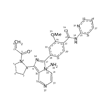 C=CC(=O)N1CCCC1C1=C2C=NC=C[N+]2(N)C(c2ccc(C(=O)Nc3ccccn3)c(OC)c2)=N1